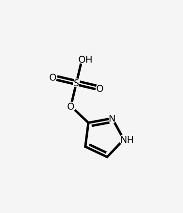 O=S(=O)(O)Oc1cc[nH]n1